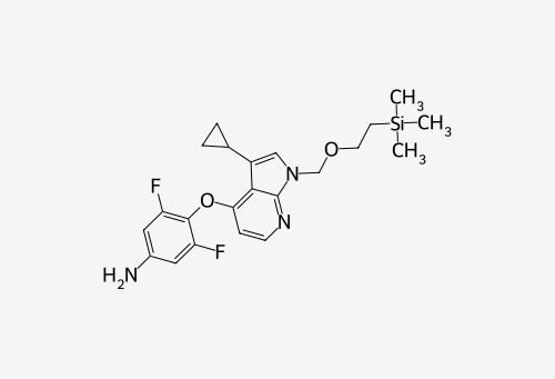 C[Si](C)(C)CCOCn1cc(C2CC2)c2c(Oc3c(F)cc(N)cc3F)ccnc21